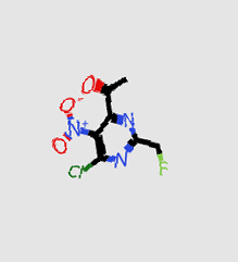 CC(=O)c1nc(CF)nc(Cl)c1[N+](=O)[O-]